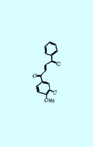 COc1ccc(C(=O)C=CC(=O)c2ccccc2)cc1Cl